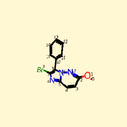 COc1ccc2nc(Br)c(-c3ccccc3)n2n1